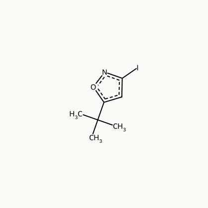 CC(C)(C)c1cc(I)no1